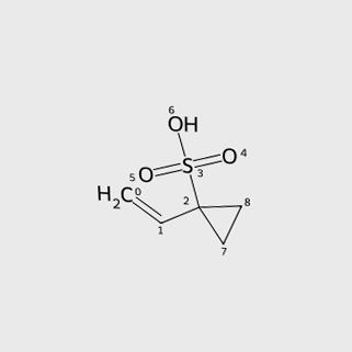 C=CC1(S(=O)(=O)O)CC1